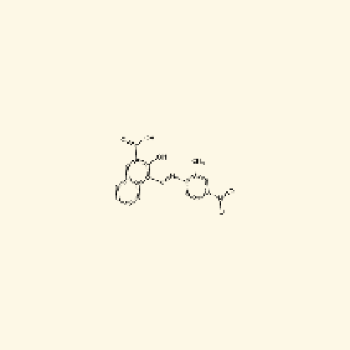 Cc1cc([N+](=O)[O-])ccc1N=Nc1c(O)c(C(=O)O)cc2ccccc12